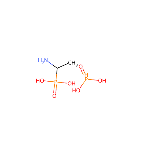 CC(N)P(=O)(O)O.O=[PH](O)O